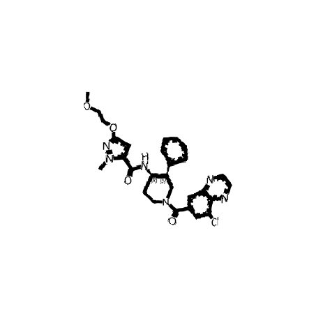 COCCOc1cc(C(=O)N[C@@H]2CCN(C(=O)c3cc(Cl)c4nccnc4c3)C[C@@H]2c2ccccc2)n(C)n1